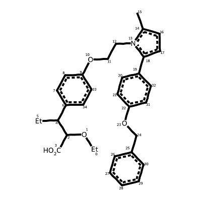 CCOC(C(=O)O)C(CC)c1ccc(OCCn2c(C)ccc2-c2ccc(OCc3ccccc3)cc2)cc1